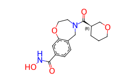 O=C(NO)c1ccc2c(c1)OCCN(C(=O)[C@@H]1CCCOC1)C2